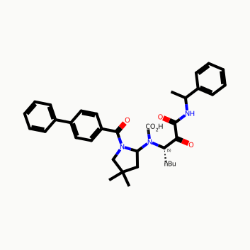 CCCC[C@@H](C(=O)C(=O)NC(C)c1ccccc1)N(C(=O)O)C1CC(C)(C)CN1C(=O)c1ccc(-c2ccccc2)cc1